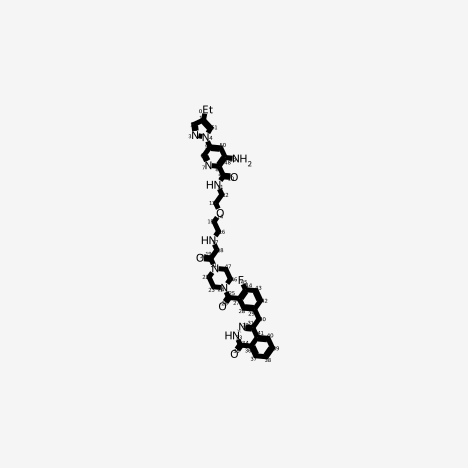 CCc1cnn(-c2cnc(C(=O)NCCOCCNCC(=O)N3CCN(C(=O)c4cc(Cc5n[nH]c(=O)c6ccccc56)ccc4F)CC3)c(N)c2)c1